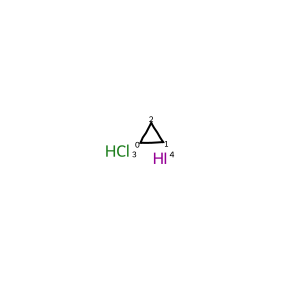 C1CC1.Cl.I